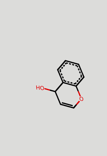 OC1C=COc2ccccc21